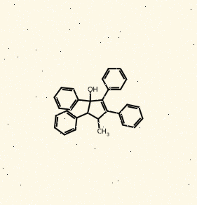 CC1C(c2ccccc2)=C(c2ccccc2)C(O)(c2ccccc2)C1c1ccccc1